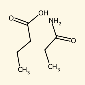 CCC(N)=O.CCCC(=O)O